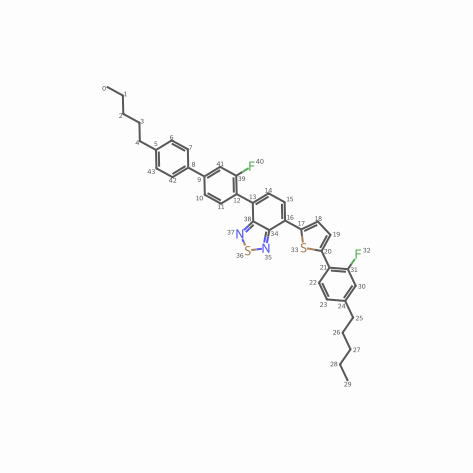 CCCCCc1ccc(-c2ccc(-c3ccc(-c4ccc(-c5ccc(CCCCC)cc5F)s4)c4nsnc34)c(F)c2)cc1